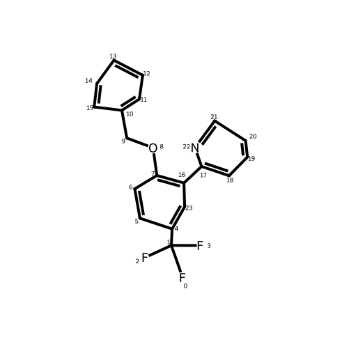 FC(F)(F)c1ccc(OCc2ccccc2)c(-c2ccccn2)c1